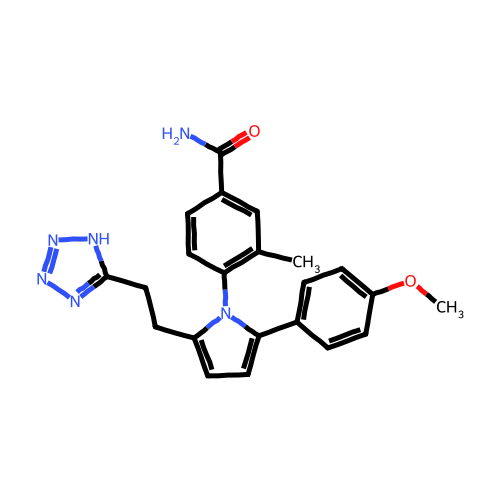 COc1ccc(-c2ccc(CCc3nnn[nH]3)n2-c2ccc(C(N)=O)cc2C)cc1